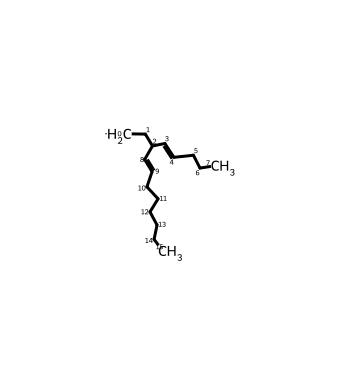 [CH2]CC(C=CCCC)C=CCCCCCC